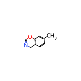 Cc1ccc2c(c1)OC=NC2